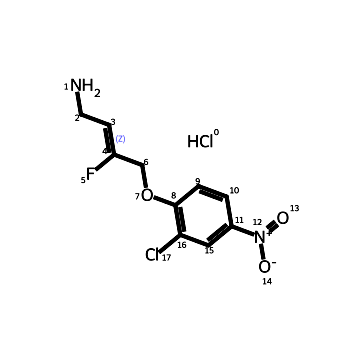 Cl.NC/C=C(\F)COc1ccc([N+](=O)[O-])cc1Cl